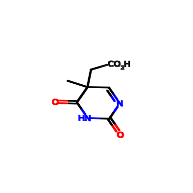 CC1(CC(=O)O)C=NC(=O)NC1=O